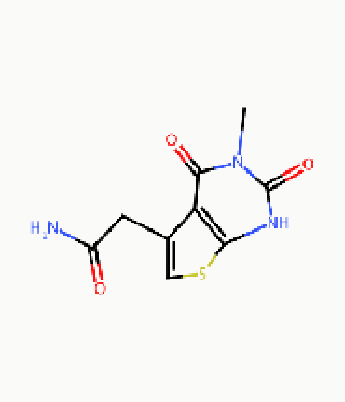 Cn1c(=O)[nH]c2scc(CC(N)=O)c2c1=O